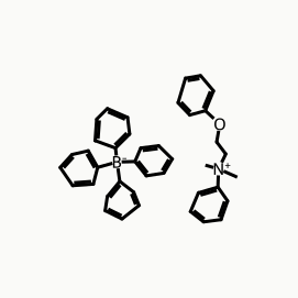 C[N+](C)(CCOc1ccccc1)c1ccccc1.c1ccc([B-](c2ccccc2)(c2ccccc2)c2ccccc2)cc1